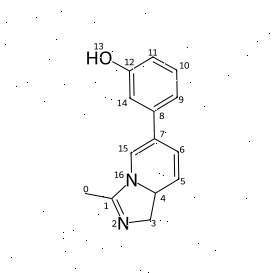 CC1=NCC2C=CC(c3cccc(O)c3)=CN12